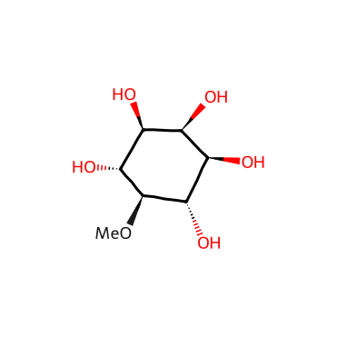 CO[C@H]1[C@H](O)[C@@H](O)[C@@H](O)[C@@H](O)[C@@H]1O